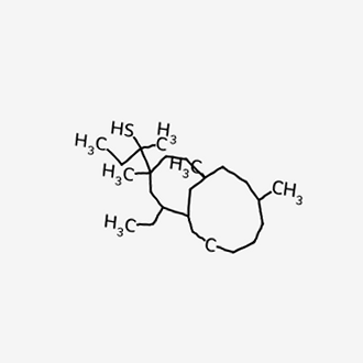 CCC1CC(C)(C(C)(S)CC)CCC2(C)CCC(C)CCCCCC1C2